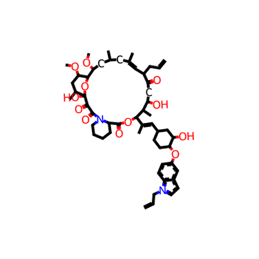 C=CCC1/C=C(\C)CC(C)CC(OC)C2OC(O)(C(=O)C(=O)N3CCCCC3C(=O)OC(C(C)=CC3CCC(Oc4ccc5c(ccn5CC=C)c4)C(O)C3)C(C)C(O)CC1=O)C(C)CC2OC